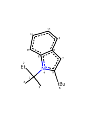 CCC(C)(C)n1c(C(C)(C)C)cc2ccccc21